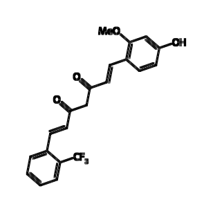 COc1cc(O)ccc1C=CC(=O)CC(=O)C=Cc1ccccc1C(F)(F)F